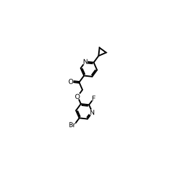 O=C(COc1cc(Br)cnc1F)c1ccc(C2CC2)nc1